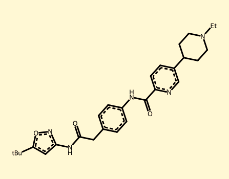 CCN1CCC(c2ccc(C(=O)Nc3ccc(CC(=O)Nc4cc(C(C)(C)C)on4)cc3)nc2)CC1